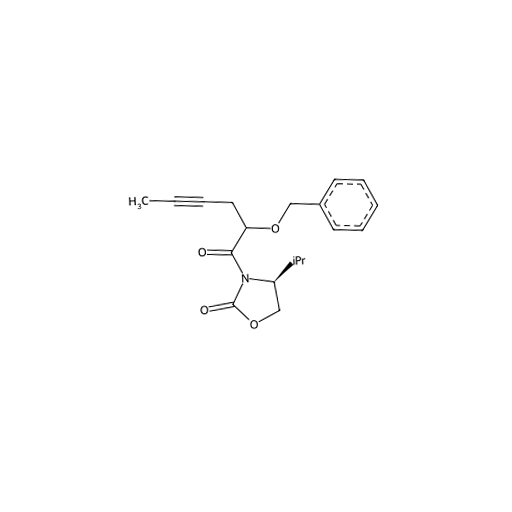 CC#CCC(OCc1ccccc1)C(=O)N1C(=O)OC[C@@H]1C(C)C